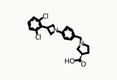 O=C(O)[C@@H]1CCN(Cc2ccc(N3CC(c4c(Cl)cccc4Cl)C3)cc2)C1